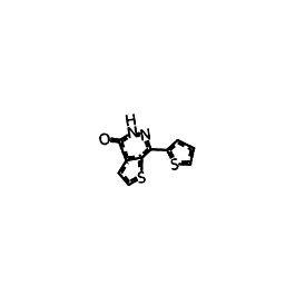 O=c1[nH]nc(-c2cccs2)c2sccc12